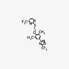 Cc1cc(-c2noc(C(F)(F)F)n2)cc(C)c1OCCSc1nccc(C(F)(F)F)n1